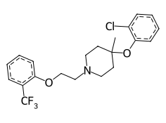 CC1(Oc2ccccc2Cl)CCN(CCOc2ccccc2C(F)(F)F)CC1